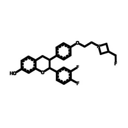 Oc1ccc2c(c1)OC(c1ccc(F)c(F)c1)C(c1ccc(OCCN3CC(CF)C3)cc1)C2